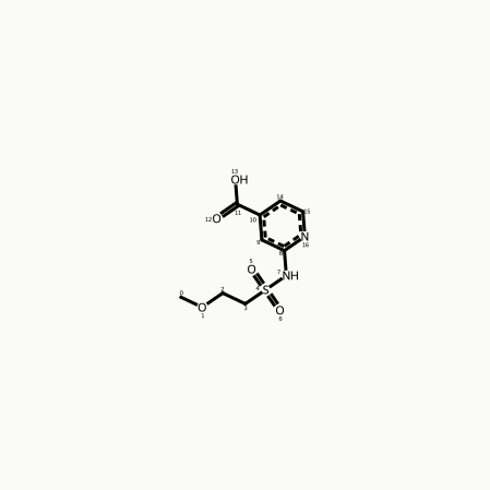 COCCS(=O)(=O)Nc1cc(C(=O)O)ccn1